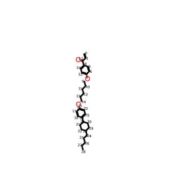 C=CC(=O)c1ccc(OCCCCCCOc2ccc(C3CCC(CCCCC)CC3)cc2)cc1